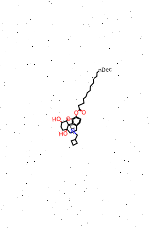 CCCCCCCCCCCCCCCCCCCCCC(=O)Oc1ccc2c3c1OC1C(O)CCC4(O)C(C2)N(CC2CCC2)CCC314